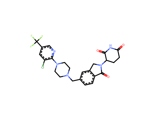 O=C1CCC(N2Cc3cc(CN4CCN(c5ncc(C(F)(F)F)cc5Cl)CC4)ccc3C2=O)C(=O)N1